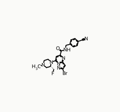 CN1CCN(c2cc(C(=O)NCc3ccc(C#N)cc3)nc3cc(Br)nn23)[C@H](CF)C1